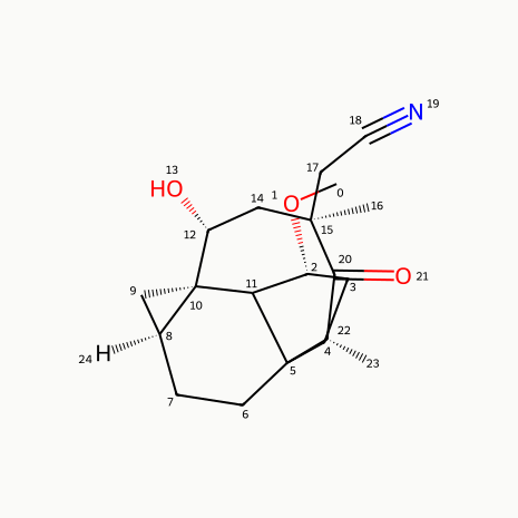 CO[C@@H]1CCC23CC[C@H]4C[C@@]4(C12)[C@H](O)C[C@@](C)(CC#N)C(=O)[C@@H]3C